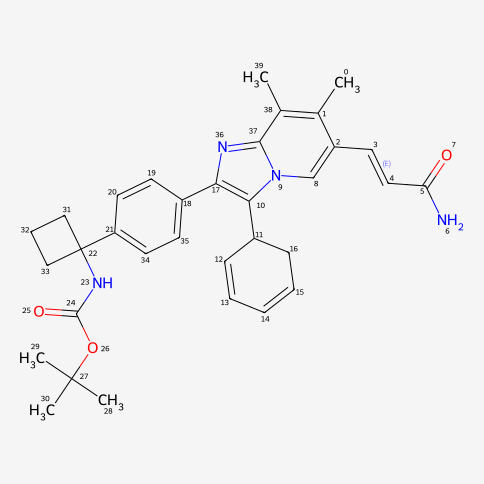 Cc1c(/C=C/C(N)=O)cn2c(C3C=CC=CC3)c(-c3ccc(C4(NC(=O)OC(C)(C)C)CCC4)cc3)nc2c1C